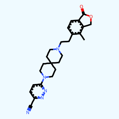 Cc1c(CCN2CCC3(CC2)CCN(c2ccc(C#N)nn2)CC3)ccc2c1COC2=O